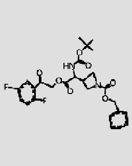 CC(C)(C)OC(=O)NC(C(=O)OCC(=O)c1cc(F)ccc1F)C1CN(C(=O)OCc2ccccc2)C1